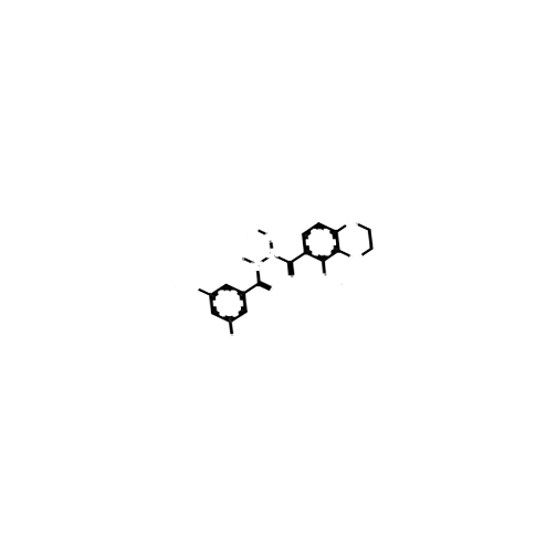 Cc1cc(C)cc(C(=O)N(N(SC(Cl)(Cl)Cl)C(=O)c2ccc3c(c2C)OCCO3)C(C)(C)C)c1